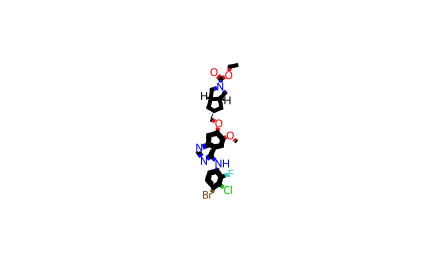 CCOC(=O)N1C[C@H]2C[C@@H](COc3cc4ncnc(Nc5ccc(Br)c(Cl)c5F)c4cc3OC)C[C@H]2C1